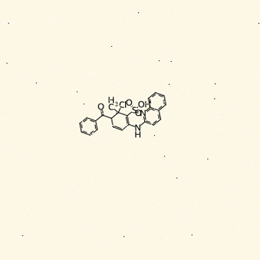 CC1(Cl)C(S(=O)(=O)O)=C(Nc2ccc3ccccc3n2)C=CC1C(=O)c1ccccc1